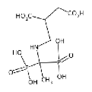 CC(NCC(CC(=O)O)C(=O)O)(P(=O)(O)O)P(=O)(O)O